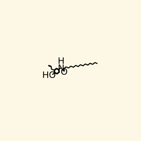 C=CCc1cc(NC(=O)CCCCCCCCCCCCCC)ccc1O